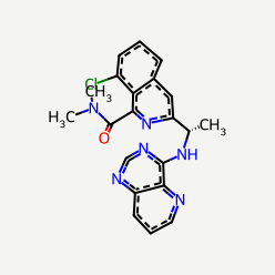 C[C@H](Nc1ncnc2cccnc12)c1cc2cccc(Cl)c2c(C(=O)N(C)C)n1